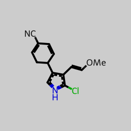 CO/C=C/c1c(C2C=CC(C#N)=CC2)c[nH]c1Cl